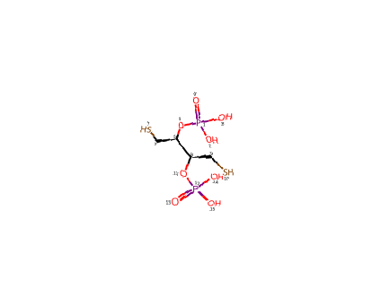 O=P(O)(O)O[C@H](CS)[C@@H](CS)OP(=O)(O)O